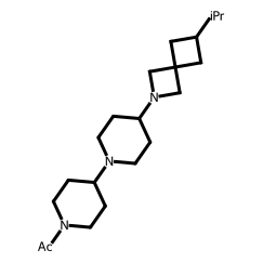 CC(=O)N1CCC(N2CCC(N3CC4(CC(C(C)C)C4)C3)CC2)CC1